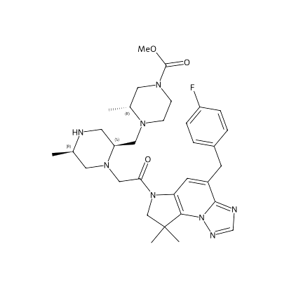 COC(=O)N1CCN(C[C@@H]2CN[C@H](C)CN2CC(=O)N2CC(C)(C)c3c2cc(Cc2ccc(F)cc2)c2ncnn32)[C@H](C)C1